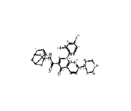 O=C(NC12CC3CC(CC(C3)C1)C2)c1cn(-c2ccc(F)cc2F)c2nc(N3CCOCC3)ccc2c1=O